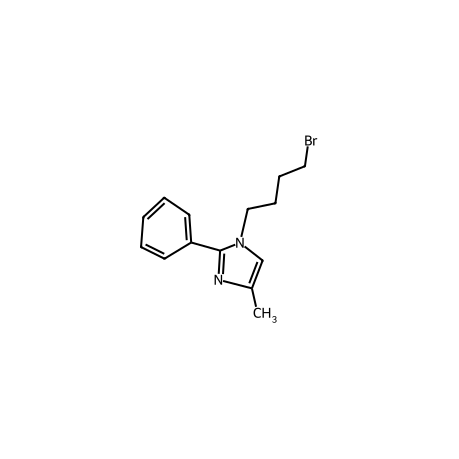 Cc1cn(CCCCBr)c(-c2ccccc2)n1